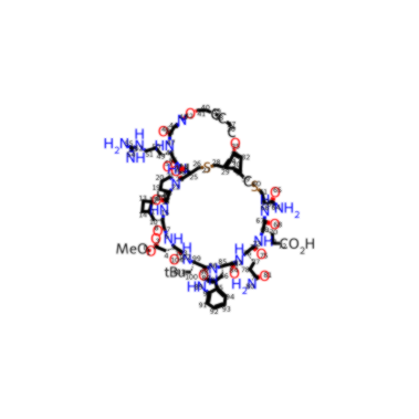 COOC(=O)C[C@@H]1NC(=O)[C@H](CC2CCC2)NC(=O)[C@@H]2CCCN2C(=O)[C@@H]2CSCc3cc(cc(c3)OCCCCCCO/N=C/C(=O)N[C@@H](CCCNC(=N)N)C(=O)N2)CSC[C@@H](C(N)=O)NC(=O)[C@H](CCC(=O)O)NC(=O)[C@H](CCC(N)=O)NC(=O)[C@H](Cc2c[nH]c3ccccc23)NC(=O)[C@H](CC(C)(C)C)NC1=O